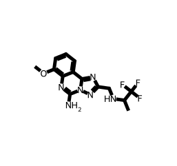 COc1cccc2c1nc(N)n1nc(CNC(C)C(F)(F)F)nc21